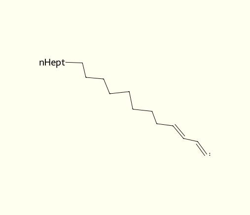 [C]=CC=CCCCCCCCCCCCCCCC